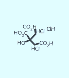 Cl.Cl.Cl.O=C(O)CC(O)(CC(=O)O)C(=O)O